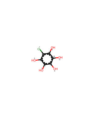 Oc1c(O)c(O)c(Cl)c(O)c1O